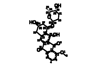 COc1cccc2c1C(=O)c1c(cc3c(c1O)[C@H](O[C@@H]1CC[C@@H](O)[C@@H](C)O1)C[C@H](O)C3)C2=O